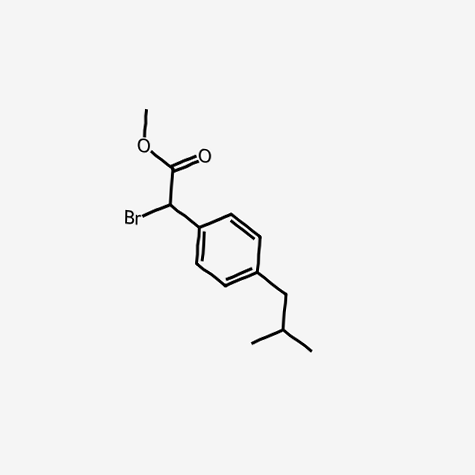 COC(=O)C(Br)c1ccc(CC(C)C)cc1